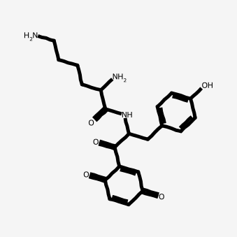 NCCCCC(N)C(=O)NC(Cc1ccc(O)cc1)C(=O)C1=CC(=O)C=CC1=O